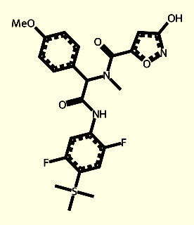 COc1ccc(C(C(=O)Nc2cc(F)c(S(C)(C)C)cc2F)N(C)C(=O)c2cc(O)no2)cc1